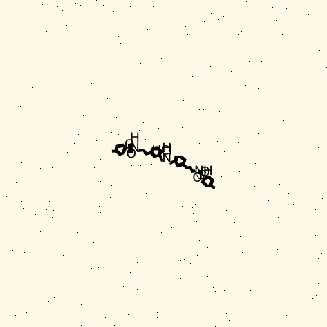 Cc1ccc(S(=O)(=O)NCCCc2cccc(CNCc3cccc(CCCNS(=O)(=O)c4ccc(C)cc4)c3)c2)cc1.Cl